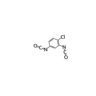 O=C=Nc1ccc(Cl)c(N=C=O)c1